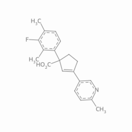 Cc1ccc(C2=CC(C(=O)O)(c3ccc(C)c(F)c3C)CC2)cn1